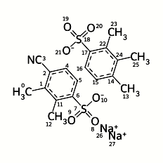 Cc1c(C#N)ccc(S(=O)(=O)[O-])c1C.Cc1ccc(S(=O)(=O)[O-])c(C)c1C.[Na+].[Na+]